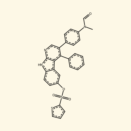 CN(C=O)c1ccc(-c2cnc3[nH]c4ccc(OS(=O)(=O)c5cccs5)cc4c3c2-c2ccccc2)cc1